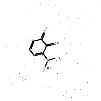 CN(C=O)C1=CC=CC(=O)C1=O